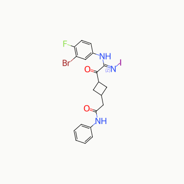 O=C(CC1CC(C(=O)/C(=N/I)Nc2ccc(F)c(Br)c2)C1)Nc1ccccc1